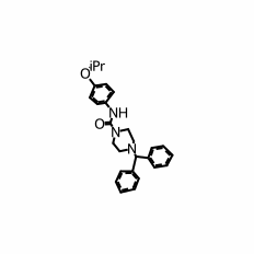 CC(C)Oc1ccc(NC(=O)N2CCN(C(c3ccccc3)c3ccccc3)CC2)cc1